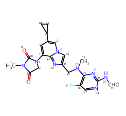 CN1C(=O)CN(c2cc(C3CC3)cn3cc(CN(C)c4nc(NC=O)ncc4F)nc23)C1=O